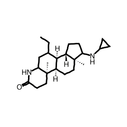 CCC1CC2NC(=O)CC[C@]2(C)[C@@H]2CC[C@]3(C)C(NC4CC4)CC[C@H]3[C@H]12